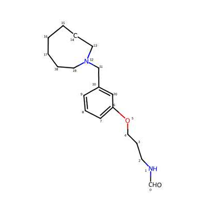 O=CNCCCOc1cccc(CN2CCCCCCC2)c1